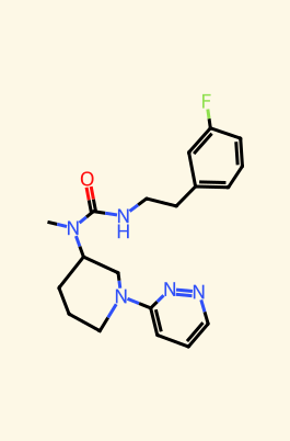 CN(C(=O)NCCc1cccc(F)c1)C1CCCN(c2cccnn2)C1